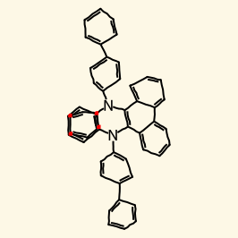 c1ccc(-c2ccc(N(c3ccccc3)c3c(N(c4ccccc4)c4ccc(-c5ccccc5)cc4)c4ccccc4c4ccccc34)cc2)cc1